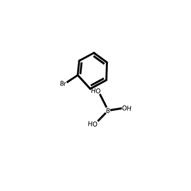 Brc1ccccc1.OB(O)O